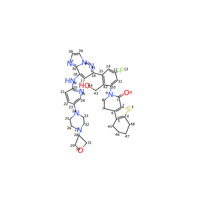 O=C1c2sc3c(c2CCN1c1cc(F)cc(-c2cc(Nc4ccc(N5CCN(C6COC6)CC5)cn4)c4nccn4n2)c1CO)CCCC3